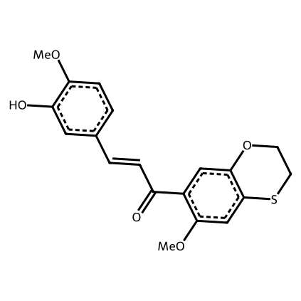 COc1ccc(C=CC(=O)c2cc3c(cc2OC)SCCO3)cc1O